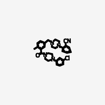 Cc1ccc(CN2CCN(c3ccccc3C#N)CC2)cc1C(=O)N1CCN(c2cccc(Cl)c2)CC1